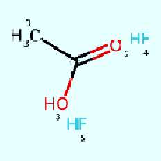 CC(=O)O.F.F